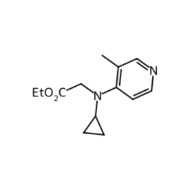 CCOC(=O)CN(c1ccncc1C)C1CC1